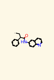 [CH2]CC(C(=O)Nc1ccc2ncccc2c1)c1ccccc1